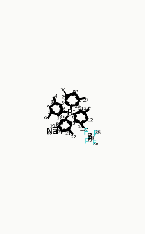 Cc1cc(C)cc([B-](c2cc(C)cc(C)c2)(c2cc(C)cc(C)c2)c2cc(C)cc(C)c2)c1.F[B-](F)(F)F.[NaH]